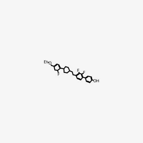 CCOCC1=CC=C(C2CCC(CCc3ccc(-c4ccc(O)cc4)c(F)c3F)CC2)C(F)C1